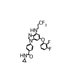 O=C(NC1CC1)c1ccc(-n2cnc3c(NCCC(F)(F)F)cc(Oc4cccc(F)c4F)cc32)cc1